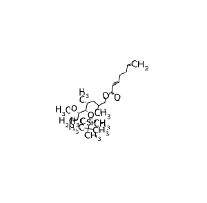 C=CCC/C=C/C(=O)OCC(C)C[C@@H](C)[C@H](O[Si](C)(C)C(C)(C)C)[C@H](C=C)OC